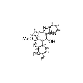 COc1cc(C(O)c2c(C3=CC=C3)nc3cccnn23)c2ccc(F)c(F)c2n1